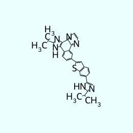 CC(C)c1ncc(-c2ccc3cc(-c4ccc5c(c4)c4nccnc4c4nc(C(C)C)[nH]c54)sc3c2)[nH]1